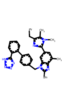 CCCc1nc2c(C)cc(-c3nc(CC(C)C)c(C)n3C)cc2n1Cc1ccc(-c2ccccc2-c2nnn[nH]2)cc1